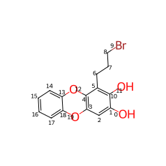 Oc1cc2c(c(CCCBr)c1O)Oc1ccccc1O2